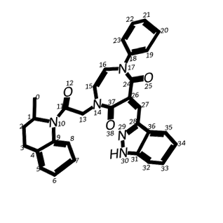 CC1CCc2ccccc2N1C(=O)CN1C=CN(c2ccccc2)C(=O)C(=Cc2n[nH]c3ccccc23)C1=O